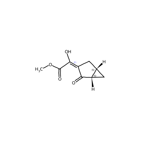 COC(=O)/C(O)=C1/C[C@@H]2C[C@@H]2C1=O